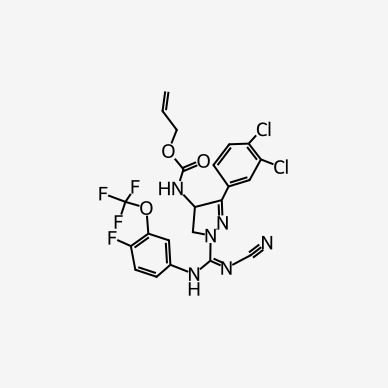 C=CCOC(=O)NC1CN(/C(=N\C#N)Nc2ccc(F)c(OC(F)(F)F)c2)N=C1c1ccc(Cl)c(Cl)c1